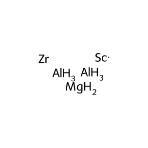 [AlH3].[AlH3].[MgH2].[Sc].[Zr]